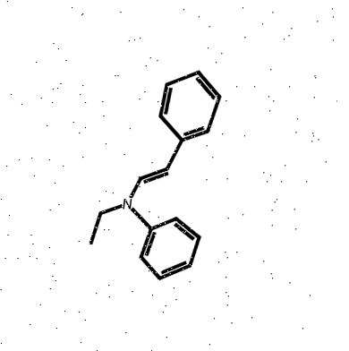 CCN(/C=C/c1ccccc1)c1ccccc1